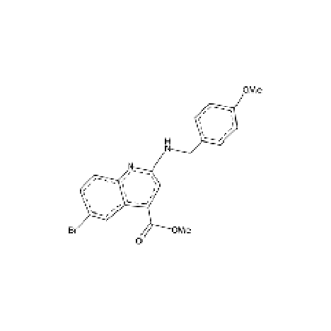 COC(=O)c1cc(NCc2ccc(OC)cc2)nc2ccc(Br)cc12